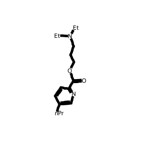 CCCc1ccc(C(=O)OCCCN(CC)CC)nc1